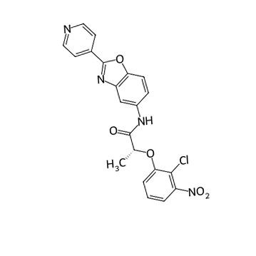 C[C@@H](Oc1cccc([N+](=O)[O-])c1Cl)C(=O)Nc1ccc2oc(-c3ccncc3)nc2c1